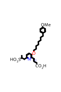 COc1ccc(CCCCCCCCOc2ccc([CH]C(C)S(=O)(=O)O)nc2/C=C/CC(=O)O)cc1